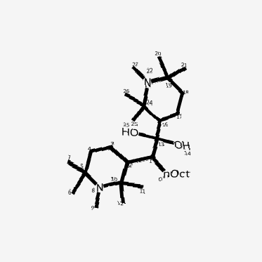 CCCCCCCCC(C1CCC(C)(C)N(C)C1(C)C)C(O)(O)C1CCC(C)(C)N(C)C1(C)C